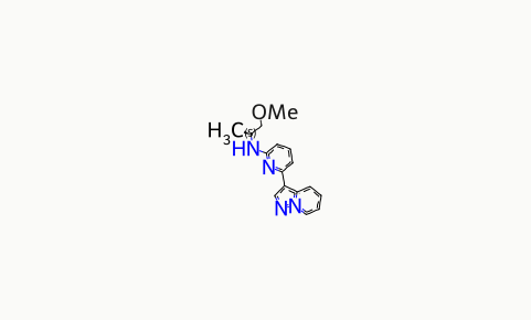 COC[C@H](C)Nc1cccc(-c2cnn3ccccc23)n1